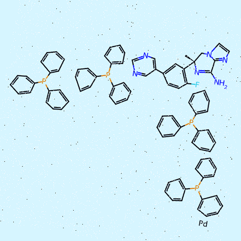 C[C@@]1(c2cc(-c3cncnc3)ccc2F)Cn2ccnc2C(N)=N1.[Pd].c1ccc(P(c2ccccc2)c2ccccc2)cc1.c1ccc(P(c2ccccc2)c2ccccc2)cc1.c1ccc(P(c2ccccc2)c2ccccc2)cc1.c1ccc(P(c2ccccc2)c2ccccc2)cc1